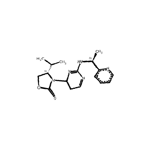 CC(C)[C@H]1COC(=O)N1C1CC=NC(N[C@@H](C)c2ccccn2)=N1